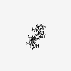 CNc1cc(C)nc(Nc2ccc(Cl)c(C(=O)Nc3ccccn3)c2)n1